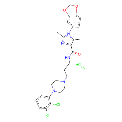 Cc1nc(C(=O)NCCCN2CCN(c3cccc(Cl)c3Cl)CC2)c(C)n1-c1ccc2c(c1)OCO2.Cl.Cl